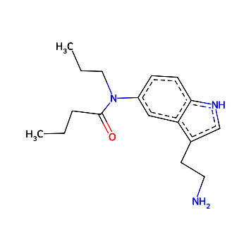 CCCC(=O)N(CCC)c1ccc2[nH]cc(CCN)c2c1